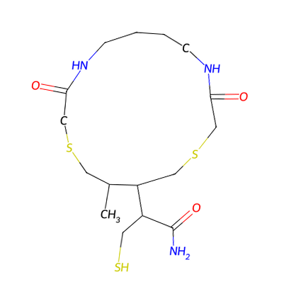 CC1CSCC(=O)NCCCCNC(=O)CSCC1C(CS)C(N)=O